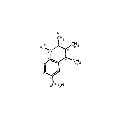 CC(=O)N1c2ccc(C(=O)O)cc2C(N)C(C)C1C